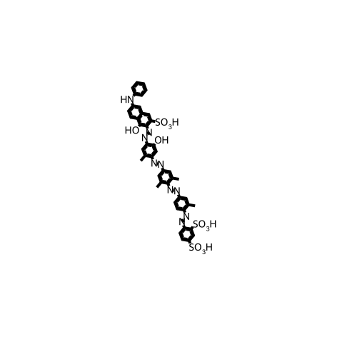 Cc1cc(N=Nc2c(S(=O)(=O)O)cc3cc(Nc4ccccc4)ccc3c2O)c(O)cc1N=Nc1cc(C)c(N=Nc2ccc(N=Nc3ccc(S(=O)(=O)O)cc3S(=O)(=O)O)c(C)c2)c(C)c1